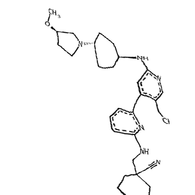 CO[C@@H]1CCN([C@H]2CC[C@H](Nc3cc(-c4cccc(NCC5(C#N)CCOCC5)n4)c(Cl)cn3)CC2)C1